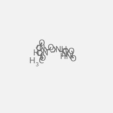 COc1ccc2ccc(=O)n(C[C@H](N)[C@@H]3CC[C@@H](NCc4ccc5c(n4)NC(=O)CO5)CO3)c2c1